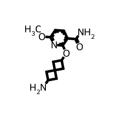 COc1ccc(C(N)=O)c(OC2CC3(CC(N)C3)C2)n1